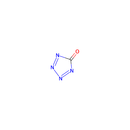 O=C1N=NN=N1